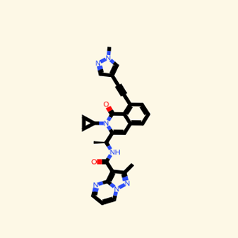 Cc1nn2cccnc2c1C(=O)N[C@@H](C)c1cc2cccc(C#Cc3cnn(C)c3)c2c(=O)n1C1CC1